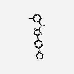 Cc1cccc(Nc2nc(-c3ccc(N4CCCC4)cc3)cs2)c1